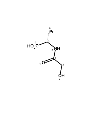 CC(C)[C@H](NC(=O)CO)C(=O)O